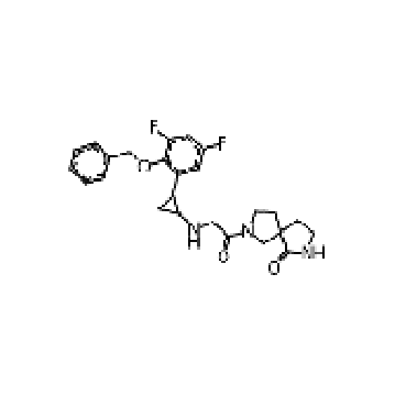 O=C(CNC1CC1c1cc(F)cc(F)c1OCc1ccccc1)N1CCC2(CCNC2=O)C1